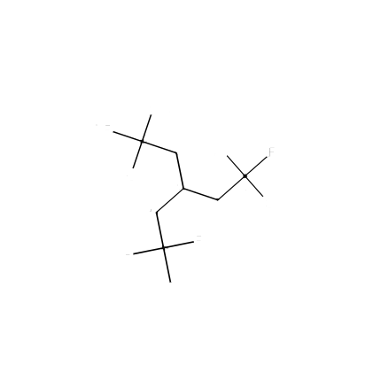 CC(F)(F)CC(CC(F)(C(F)(F)F)C(F)(F)F)CC(F)(C(F)(F)F)C(F)(F)F